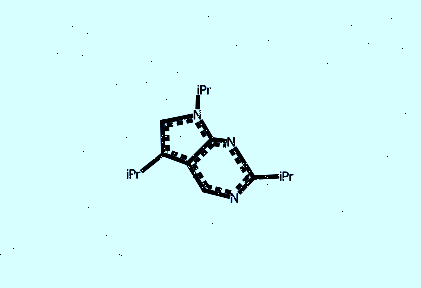 CC(C)c1ncc2c(C(C)C)cn(C(C)C)c2n1